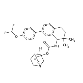 CC1(C)CCc2ccc(-c3ccc(OC(F)F)cc3)cc2C1NC(=O)O[C@H]1CN2CCC1CC2